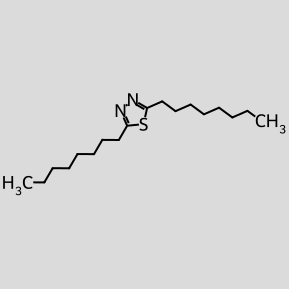 CCCCCCCCc1nnc(CCCCCCCC)s1